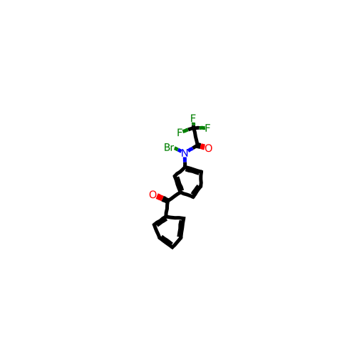 O=C(c1ccccc1)c1cccc(N(Br)C(=O)C(F)(F)F)c1